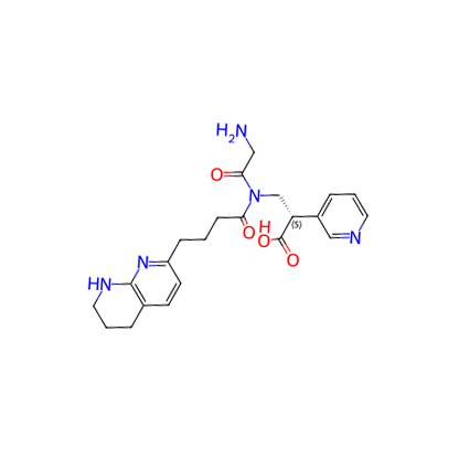 NCC(=O)N(C[C@@H](C(=O)O)c1cccnc1)C(=O)CCCc1ccc2c(n1)NCCC2